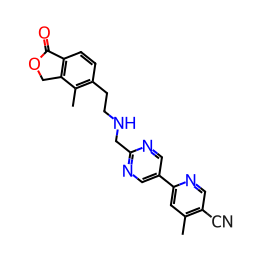 Cc1cc(-c2cnc(CNCCc3ccc4c(c3C)COC4=O)nc2)ncc1C#N